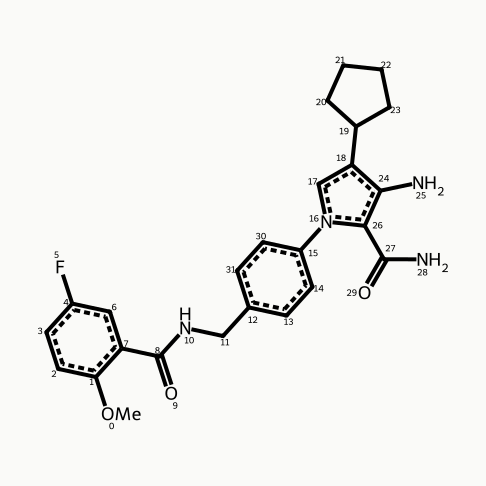 COc1ccc(F)cc1C(=O)NCc1ccc(-n2cc(C3CCCC3)c(N)c2C(N)=O)cc1